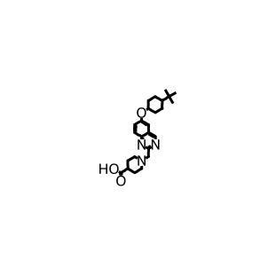 CC(C)(C)C1CCC(Oc2ccc3nc(CN4CCC(C(=O)O)CC4)ncc3c2)CC1